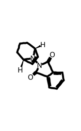 O=C1c2ccccc2C(=O)N1N1[C@@H]2C=C[C@H]1CCC2